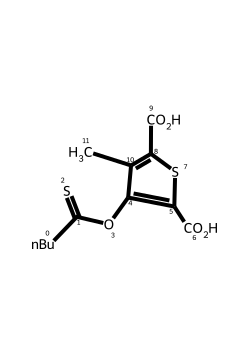 CCCCC(=S)Oc1c(C(=O)O)sc(C(=O)O)c1C